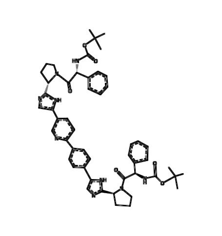 CC(C)(C)OC(=O)N[C@@H](C(=O)N1CCC[C@H]1c1ncc(-c2ccc(-c3ccc(-c4cnc([C@@H]5CCCN5C(=O)[C@H](NC(=O)OC(C)(C)C)c5ccccc5)[nH]4)cn3)cc2)[nH]1)c1ccccc1